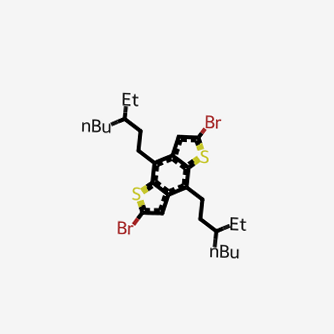 CCCCC(CC)CCc1c2cc(Br)sc2c(CCC(CC)CCCC)c2cc(Br)sc12